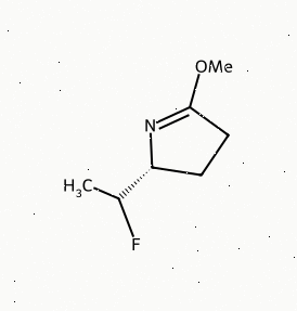 COC1=N[C@@H](C(C)F)CC1